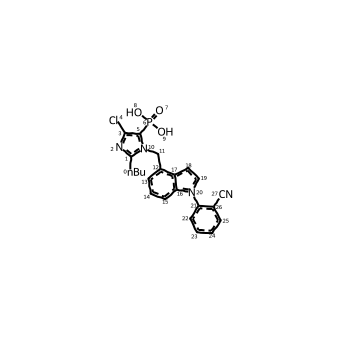 CCCCc1nc(Cl)c(P(=O)(O)O)n1Cc1cccc2c1ccn2-c1ccccc1C#N